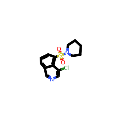 O=S(=O)(c1cccc2cncc(Cl)c12)N1CCCCC1